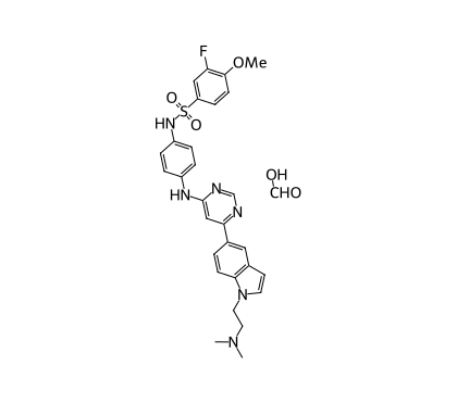 COc1ccc(S(=O)(=O)Nc2ccc(Nc3cc(-c4ccc5c(ccn5CCN(C)C)c4)ncn3)cc2)cc1F.O=CO